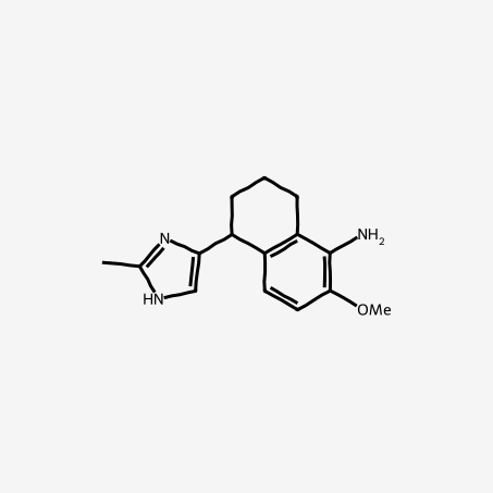 COc1ccc2c(c1N)CCCC2c1c[nH]c(C)n1